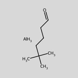 CC(C)(C)CCCC=O.[AlH3]